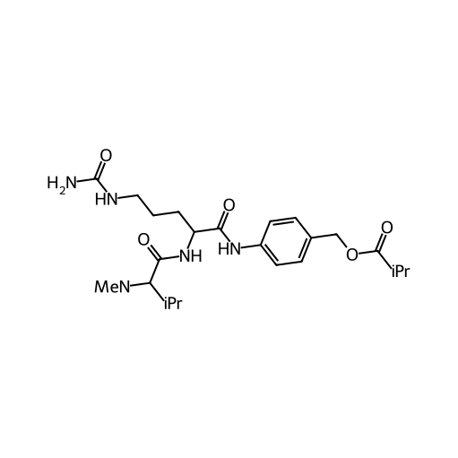 CNC(C(=O)NC(CCCNC(N)=O)C(=O)Nc1ccc(COC(=O)C(C)C)cc1)C(C)C